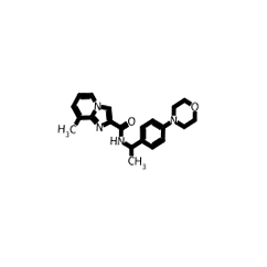 Cc1cccn2cc(C(=O)NC(C)c3ccc(N4CCOCC4)cc3)nc12